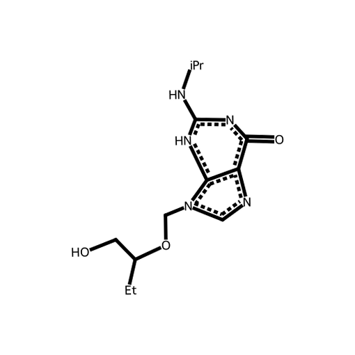 CCC(CO)OCn1cnc2c(=O)nc(NC(C)C)[nH]c21